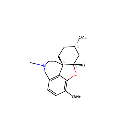 COc1ccc2c3c1O[C@H]1C[C@@H](OC(C)=O)CC[C@]31CCN(C)C2